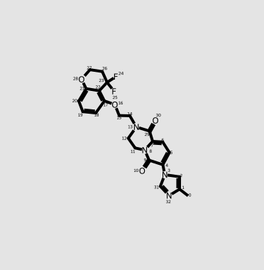 Cc1cn(-c2ccc3n(c2=O)CCN(CCOc2cccc4c2C(F)(F)CCO4)C3=O)cn1